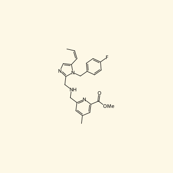 C/C=C\c1cnc(CNCc2cc(C)cc(C(=O)OC)n2)n1Cc1ccc(F)cc1